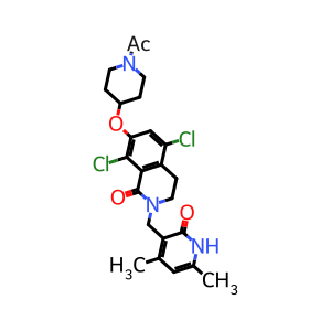 CC(=O)N1CCC(Oc2cc(Cl)c3c(c2Cl)C(=O)N(Cc2c(C)cc(C)[nH]c2=O)CC3)CC1